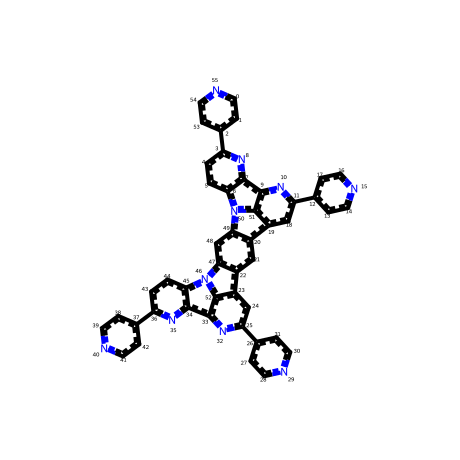 c1cc(-c2ccc3c(n2)c2nc(-c4ccncc4)cc4c5cc6c7cc(-c8ccncc8)nc8c9nc(-c%10ccncc%10)ccc9n(c6cc5n3c42)c78)ccn1